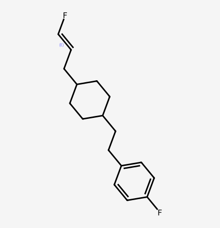 F/C=C/CC1CCC(CCc2ccc(F)cc2)CC1